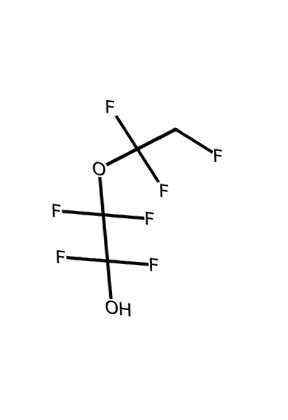 OC(F)(F)C(F)(F)OC(F)(F)CF